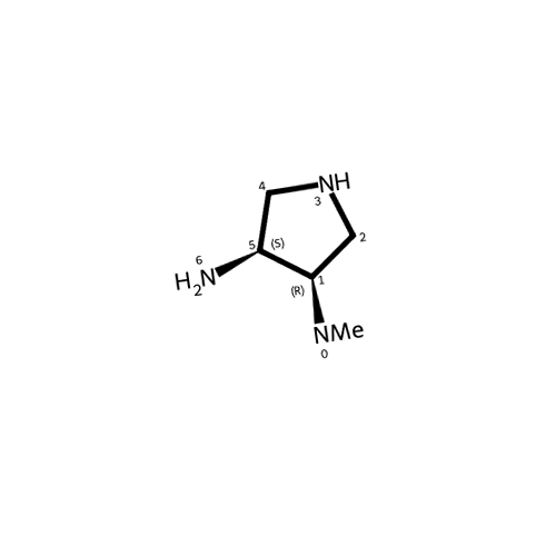 CN[C@@H]1CNC[C@@H]1N